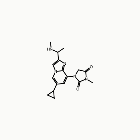 CNC(C)c1cn2cc(C3CC3)cc(N3CC(=O)N(C)C3=O)c2n1